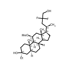 CC[C@]1(O)CC[C@@]2(C)[C@@H](CC[C@@H]3[C@@H]2[C@@H](OC)C[C@]2(C)[C@@H]([C@H](C)CC(F)(F)CO)CC[C@@H]32)C1